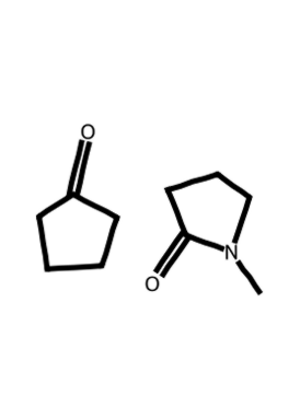 CN1CCCC1=O.O=C1CCCC1